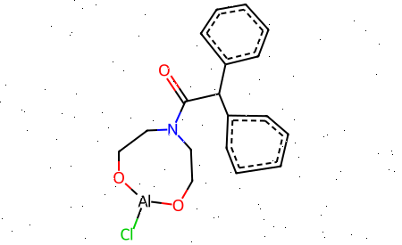 O=C(C(c1ccccc1)c1ccccc1)N1CC[O][Al]([Cl])[O]CC1